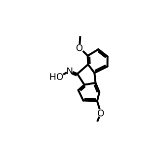 COc1ccc2c(c1)-c1cccc(OC)c1/C2=N/O